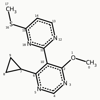 COc1ncnc(C2CC2)c1-c1nccc(SC)n1